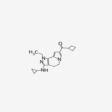 CCn1nc(NC2CC2)c2c1-c1cc(C(=O)C3CCC3)cn1CC2